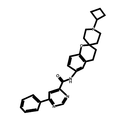 O=C(Nc1ccc2c(c1)CCC1(CCN(C3CCC3)CC1)O2)c1cc(-c2ccccc2)ncn1